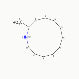 O=C(O)C1CCCCCCCCCCN1